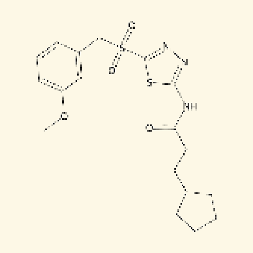 COc1cccc(CS(=O)(=O)c2nnc(NC(=O)CCC3CCCC3)s2)c1